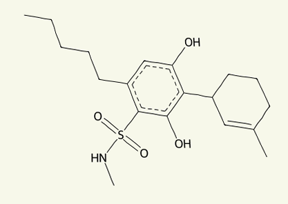 CCCCCc1cc(O)c(C2C=C(C)CCC2)c(O)c1S(=O)(=O)NC